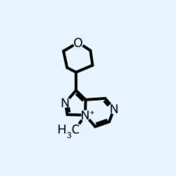 C[N+]12C=CN=CC1=C(C1CCOCC1)N=C2